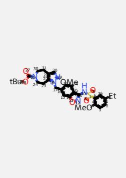 CCc1ccc(OC)c(S(=O)(=O)Nc2noc3cc(Cn4ncc5c4CCN(C(=O)OC(C)(C)C)CC5)cc(OC)c23)c1